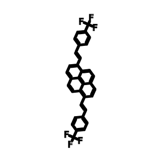 FC(F)(F)c1ccc(C=Cc2ccc3ccc4c(C=Cc5ccc(C(F)(F)F)cc5)ccc5ccc2c3c54)cc1